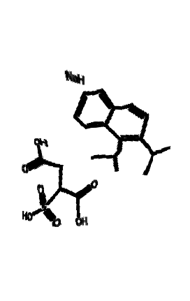 CC(C)c1ccc2ccccc2c1C(C)C.O=C(O)CC(C(=O)O)S(=O)(=O)O.[NaH]